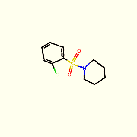 O=S(=O)(c1ccccc1Cl)N1CCCCC1